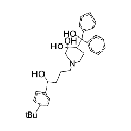 CC(C)(C)c1ccc(C(O)CCCN2CCC(C(O)(c3ccccc3)c3ccccc3)C(O)(O)C2)cc1